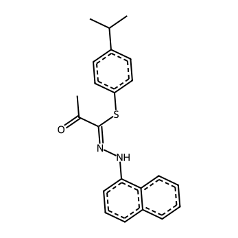 CC(=O)C(=NNc1cccc2ccccc12)Sc1ccc(C(C)C)cc1